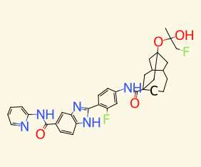 CC(O)(CF)OC12CC3CCCC(C(=O)Nc4ccc(-c5nc6cc(C(=O)Nc7ccccn7)ccc6[nH]5)c(F)c4)(CC3C1)C2